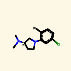 CC(C)c1ccc(Cl)cc1N1CC[C@H](N(C)C)C1